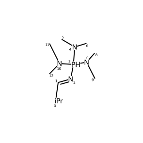 CC(C)C=N[PH](N(C)C)(N(C)C)N(C)C